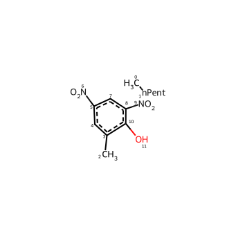 CCCCCC.Cc1cc([N+](=O)[O-])cc([N+](=O)[O-])c1O